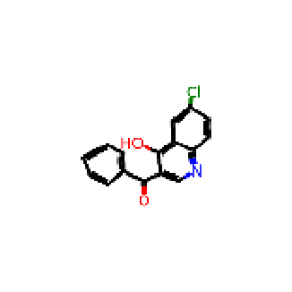 O=C(c1ccccc1)c1cnc2ccc(Cl)cc2c1O